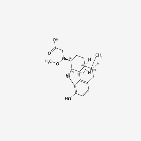 CON(CC(=O)O)[C@H]1CC[C@H]2[C@H]3Cc4ccc(O)c5c4[C@@]2(CCN3C)[C@H]1O5